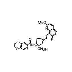 COc1ccc2ncc(F)c(CCN3CC[C@@H](NC(=O)c4cc5c(cn4)OCCO5)[C@H](O)C3)c2n1.Cl